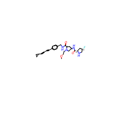 COCCN1C[C@H](NC(=O)[C@@H]2C[C@H](F)CN2)C[C@@H]1C(=O)NCc1ccc(C#CC#CC2CC2)cc1